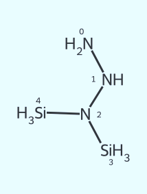 NNN([SiH3])[SiH3]